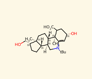 CC(C)(C)N1C[C@H]2[C@@H]3CC[C@H](CO)[C@@]3(C)CC[C@@H]2[C@]2(C)C1=C[C@@H](O)CC2C(=O)O